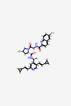 C[C@H](NC(=O)[C@@H]1C[C@@H](F)CN1C(=O)CNC(=O)c1ccc2cc(F)ccc2n1)c1cc(/C=C/C2CC2)ncc1/C=C/C1CC1